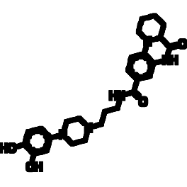 O=C(NCCCN1CCN(c2ccc(O)c(O)c2)CC1)c1ccc2c(c1)NC(=O)C1CCCCN21